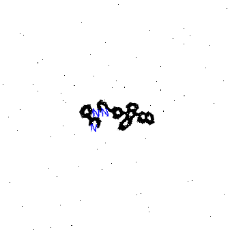 c1cc(-c2ccc(-c3c4ccccc4c(-c4ccc5ccccc5c4)c4ccccc34)cc2)nc(-n2c3ccccc3c3cnccc32)c1